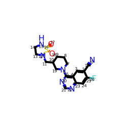 N#Cc1cc2c(N3CCCC(CN4CCNS4(=O)=O)C3)ncnc2cc1F